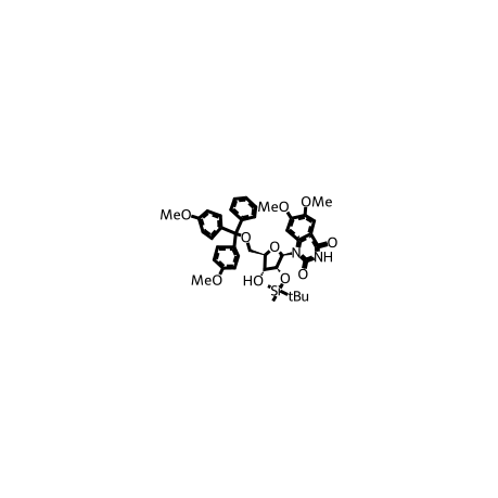 COc1ccc(C(OC[C@H]2O[C@@H](n3c(=O)[nH]c(=O)c4cc(OC)c(OC)cc43)[C@H](O[Si](C)(C)C(C)(C)C)[C@@H]2O)(c2ccccc2)c2ccc(OC)cc2)cc1